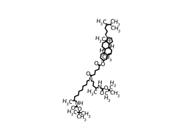 CC(CCCCCCCN(CCC(C)NC(=O)OC(C)(C)C)C(=O)CCCC(=O)O[C@H]1CC[C@@]2(C)C(=CC[C@H]3[C@@H]4CC[C@H](CCC[C@@H](C)C(C)C)[C@@]4(C)CC[C@@H]32)C1)NC(=O)OC(C)(C)C